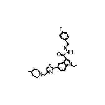 CCn1cc(C(=O)NN=Cc2ccc(F)cc2)c2cc(-c3nc(CN4CCC(C)CC4)cs3)ccc21